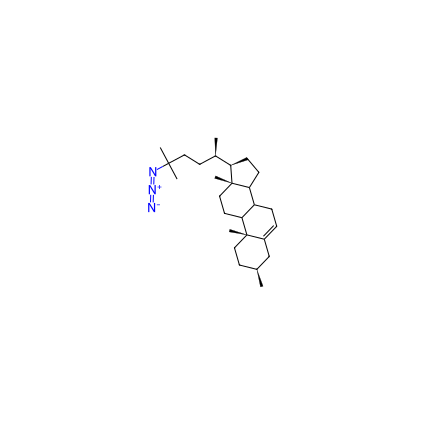 C[C@H]1CC[C@@]2(C)C(=CCC3C2CC[C@@]2(C)C3CC[C@@H]2[C@H](C)CCC(C)(C)N=[N+]=[N-])C1